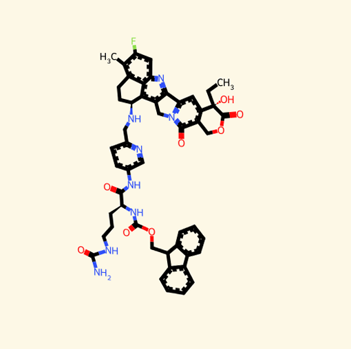 CC[C@@]1(O)C(=O)OCc2c1cc1n(c2=O)Cc2c-1nc1cc(F)c(C)c3c1c2[C@@H](NCc1ccc(NC(=O)[C@H](CCCNC(N)=O)NC(=O)OCC2c4ccccc4-c4ccccc42)cn1)CC3